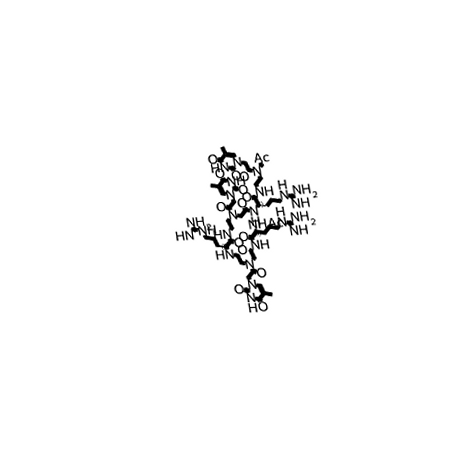 CC(=O)CN(CCNC(=O)[C@H](CCCNC(=N)N)NC(=O)CN(CCNC(=O)[C@H](CCCNC(=N)N)NC(=O)CN(CCNC(=O)[C@H](CCCNC(=N)N)NC(C)=O)C(=O)Cn1cc(C)c(=O)[nH]c1=O)C(=O)Cn1cc(C)c(=O)[nH]c1=O)C(=O)Cn1cc(C)c(=O)[nH]c1=O